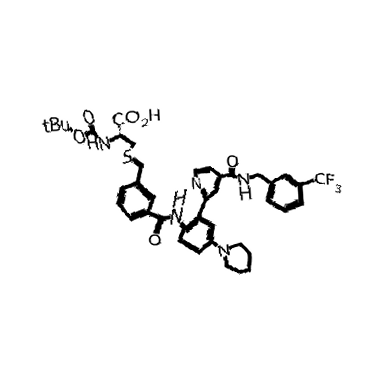 CC(C)(C)OC(=O)N[C@@H](CSCc1cccc(C(=O)Nc2ccc(N3CCCCC3)cc2-c2cc(C(=O)NCc3cccc(C(F)(F)F)c3)ccn2)c1)C(=O)O